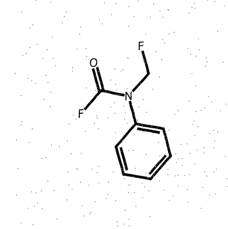 O=C(F)N(CF)c1ccccc1